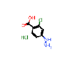 Cl.NNc1ccc(C(=O)O)c(Cl)c1